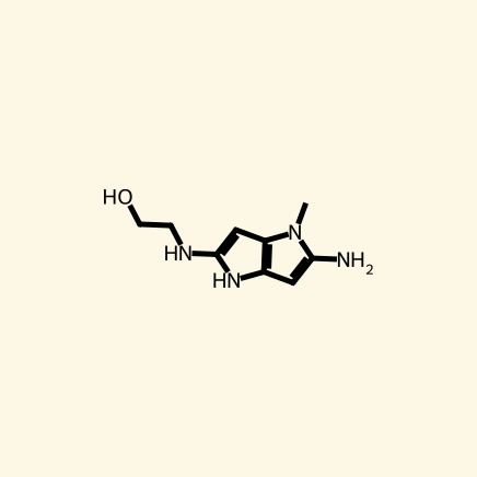 Cn1c(N)cc2[nH]c(NCCO)cc21